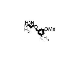 COc1cc(C)cc(COc2cc(N)[nH]n2)c1